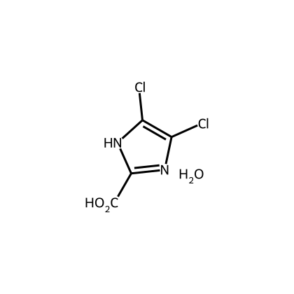 O.O=C(O)c1nc(Cl)c(Cl)[nH]1